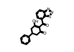 O=C1CC(c2ccccc2)CC(O)=C1C(=O)c1cccc2nnsc12